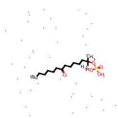 CC(C)(C)CCCCCC(=O)CCCCCC(C)(C)OP(=O)(O)O